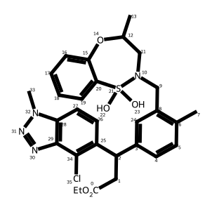 CCOC(=O)CC(c1ccc(C)c(CN2CC(C)Oc3ccccc3S2(O)O)c1)c1ccc2c(nnn2C)c1Cl